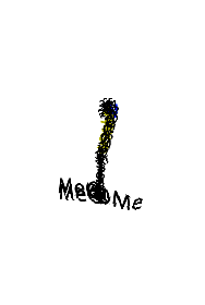 CO[Si](CCCCCCCCCCCCSSSSSSSc1nc2ccccc2s1)(OC)OC